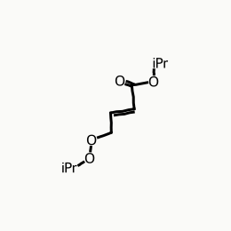 CC(C)OOC/C=C/C(=O)OC(C)C